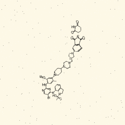 COc1cc(N2CCC(N3CCN(C[C@H]4CCN(c5ccc6c(c5)C(=O)N(C5CCC(=O)NC5=O)C6=O)C4)CC3)CC2)c(C)cc1Nc1ncc(Br)c(Nc2cccc3c2N(S(C)(=O)=O)CC3)n1